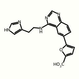 O=C(O)c1ccc(-c2ccc3ncnc(NCCc4c[nH]cn4)c3c2)o1